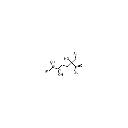 CC(=O)CC(O)(CC[C@@H](O)[C@H](O)C(C)C)C(=O)C(C)(C)C